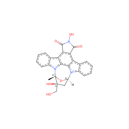 C[C@@]12O[C@H](C[C@]1(O)CO)n1c3ccccc3c3c4c(c5c6ccccc6n2c5c31)C(=O)N(O)C4=O